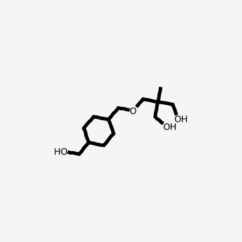 CC(CO)(CO)COCC1CCC(CO)CC1